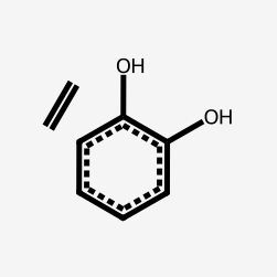 C=C.Oc1ccccc1O